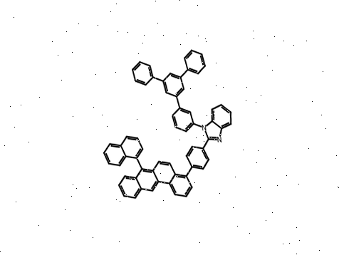 c1ccc(-c2cc(-c3ccccc3)cc(-c3cccc(-n4c(-c5ccc(-c6cccc7c6ccc6c(-c8cccc9ccccc89)c8ccccc8cc67)cc5)nc5ccccc54)c3)c2)cc1